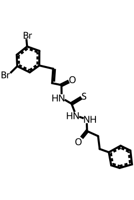 O=C(/C=C/c1cc(Br)cc(Br)c1)NC(=S)NNC(=O)CCc1ccccc1